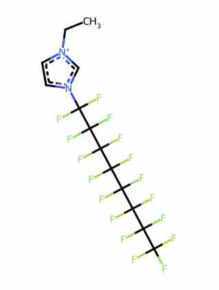 CC[n+]1ccn(C(F)(F)C(F)(F)C(F)(F)C(F)(F)C(F)(F)C(F)(F)C(F)(F)C(F)(F)F)c1